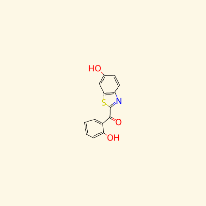 O=C(c1nc2ccc(O)cc2s1)c1ccccc1O